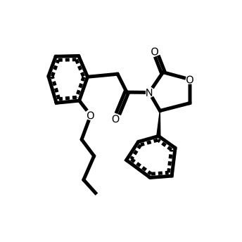 CCCCOc1ccccc1CC(=O)N1C(=O)OC[C@H]1c1ccccc1